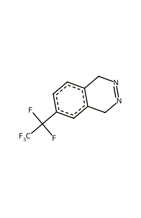 FC(F)(F)C(F)(F)c1ccc2c(c1)CN=NC2